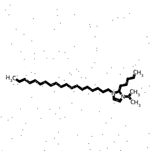 CCCCCCCCCCCCCCCCCCCN1C=CN(C(C)C)C1CCCCC